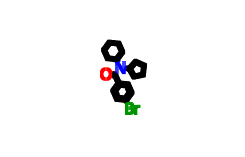 O=C(c1ccc(Br)cc1)N(C1CCCCC1)C1CCCC1